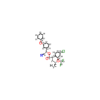 CCCC(C(=O)OC(C#N)c1cccc(Oc2ccccc2)c1)c1ccc(Cl)cc1OC(F)F